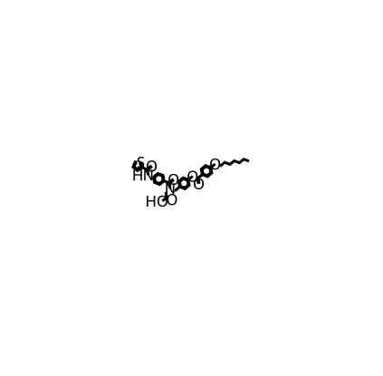 CCCCCCCOc1ccc(C(=O)Oc2ccc(CN(CC(=O)O)C(=O)c3ccc(NC(=O)c4cccs4)cc3)cc2)cc1